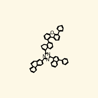 C1=C(c2nc(-c3ccc4c(ccc5ccccc54)c3)nc(-c3ccc(-c4ccccc4)c4ccccc34)n2)c2cccc(-c3cccc4oc5c(-c6ccccc6)cccc5c34)c2CC1